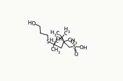 CC(C)(CC(C)(CS(=O)(=O)O)C(C)(C)C)SCCCO